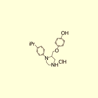 CC(C)c1ccc(N2CCNCC2COc2ccc(O)cc2)cc1.Cl